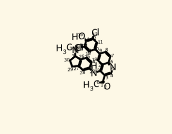 CC(=O)c1cnc2ccc(-c3cc(Cl)c(O)c(Cl)c3)cc2c1Nc1ccc2c(c1)CCC2N(C)C